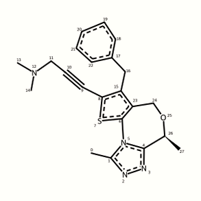 Cc1nnc2n1-c1sc(C#CCN(C)C)c(Cc3ccccc3)c1CO[C@H]2C